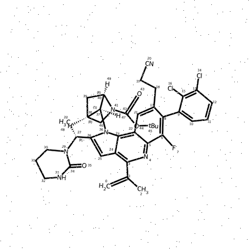 C=C(C)c1nc2c(F)c(-c3cccc(Cl)c3Cl)c(CCC#N)cc2c2c1cc([C@@H](C)N1CCCNC1=O)n2[C@H]1[C@@H]2C[C@H]1N(C(=O)OC(C)(C)C)C2